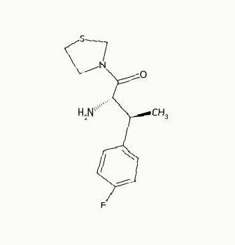 C[C@@H](c1ccc(F)cc1)[C@H](N)C(=O)N1CCSC1